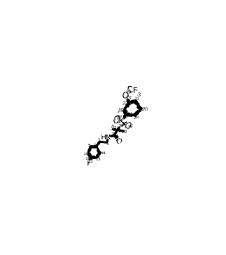 CC(C)(C(=O)NCCc1ccc(F)cc1)S(=O)(=O)c1cccc(OC(F)(F)F)c1